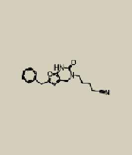 N#CCCCCN1Cc2cc(Cc3ccccc3)oc2NC1=O